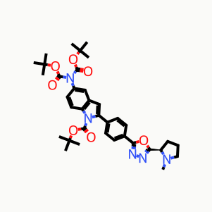 CN1CCC[C@@H]1c1nnc(-c2ccc(-c3cc4cc(N(C(=O)OC(C)(C)C)C(=O)OC(C)(C)C)ccc4n3C(=O)OC(C)(C)C)cc2)o1